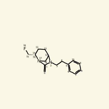 C=C1N(CCc2ccccc2)C2CC[C@@H](CF)N1C2